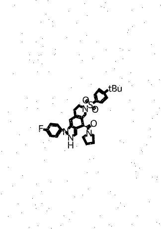 CC(C)(C)c1ccc(S(=O)(=O)N2CCC3=C(C2)[C@@H](C(=O)N2CCCC2)C2=CNN(c4ccc(F)cc4)C2=C3)cc1